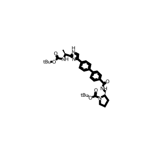 C[C@H](NC(=O)OC(C)(C)C)c1nc(-c2ccc(-c3ccc(C(=O)NC[C@@H]4CCCN4C(=O)OC(C)(C)C)cc3)cc2)c[nH]1